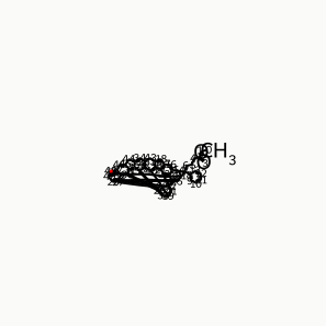 COC(=O)CCCC1(c2ccccc2)C2c3cc4cc5c6c4c4c3c3c7c8c9c%10c%11c%12c%13c%14c(cc(c%15c%14c%11c(c6%15)c4c3%10)C5)CC%13=CC(CC8=CC721)C9%12